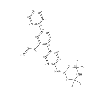 CC1(C)CC(Nc2cnc(-c3ccc(-c4ncccn4)cc3OC=O)cn2)CC(C)(C)N1